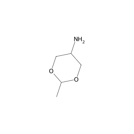 CC1OCC(N)CO1